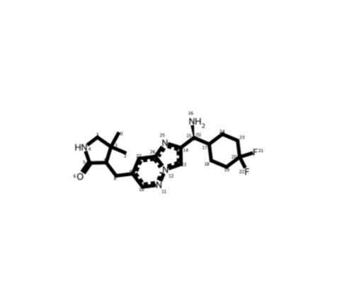 CC1(C)CNC(=O)C1Cc1cnn2cc([C@@H](N)C3CCC(F)(F)CC3)nc2c1